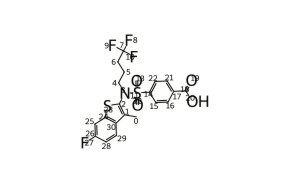 Cc1c(N(CCCC(F)(F)F)S(=O)(=O)c2ccc(C(=O)O)cc2)sc2cc(F)ccc12